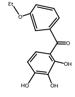 CCOc1cccc(C(=O)c2ccc(O)c(O)c2O)c1